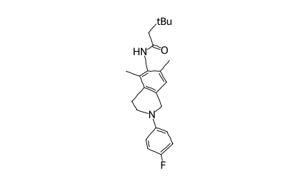 Cc1cc2c(c(C)c1NC(=O)CC(C)(C)C)CCN(c1ccc(F)cc1)C2